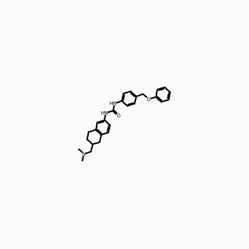 CN(C)CC1CCc2cc(NC(=O)Nc3ccc(COc4ccccc4)cc3)ccc2C1